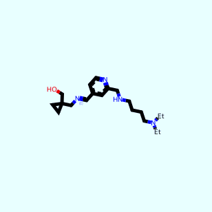 CCN(CC)CCCCNCc1cc(/C=N/CC2(CO)CC2)ccn1